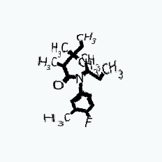 CCC(C)N(C(=O)C(C)C(C)(C)CC)c1ccc(F)c(C)c1